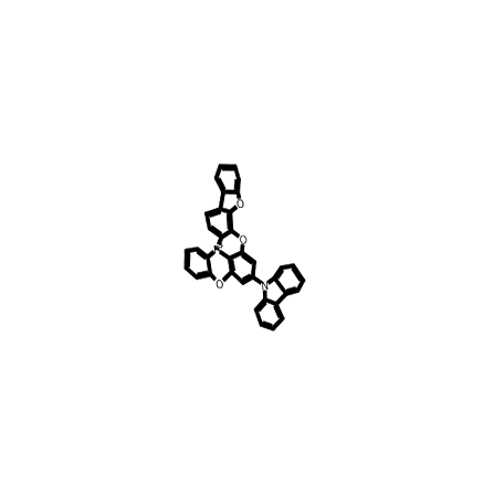 S=P12c3ccccc3Oc3cc(-n4c5ccccc5c5ccccc54)cc(c31)Oc1c2ccc2c1oc1ccccc12